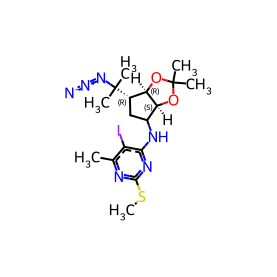 CSc1nc(C)c(I)c(NC2C[C@H](C(C)(C)N=[N+]=[N-])[C@H]3OC(C)(C)O[C@@H]23)n1